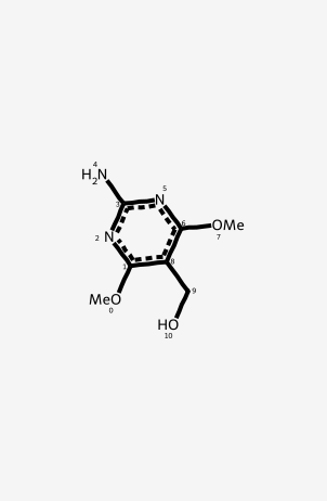 COc1nc(N)nc(OC)c1CO